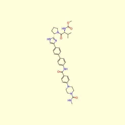 CNC(=O)N1CCN(c2ccc(C(=O)Nc3ccc(-c4ccc(-c5c[nH]c([C@@H]6CCCN6C(=O)[C@@H](NC(=O)OC)C(C)C)n5)cc4)cc3)cc2)CC1